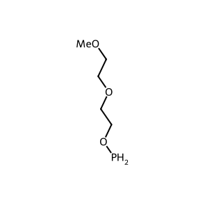 COCCOCCOP